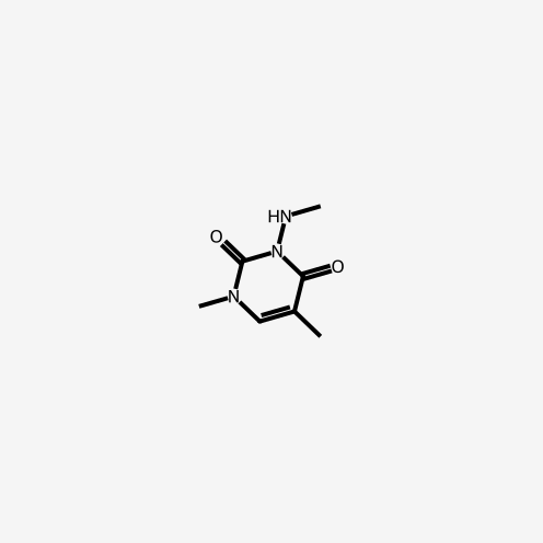 CNn1c(=O)c(C)cn(C)c1=O